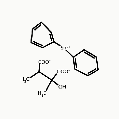 CC(C(=O)[O-])C(C)(O)C(=O)[O-].c1cc[c]([Sn+2][c]2ccccc2)cc1